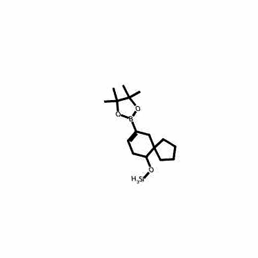 CC1(C)OB(C2=CCC(O[SiH3])C3(CCCC3)C2)OC1(C)C